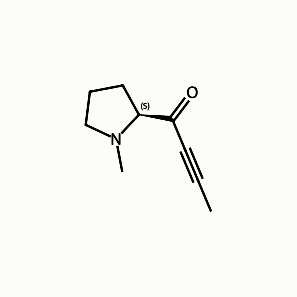 CC#CC(=O)[C@@H]1CCCN1C